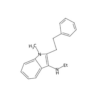 CCNc1c(CCc2ccccc2)n(C)c2ccccc12